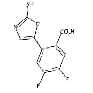 O=C(O)c1cc(F)c(F)cc1-c1cnc(S)o1